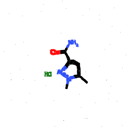 Cc1cc(C(N)=O)nn1C.Cl